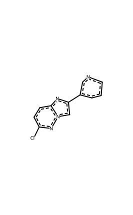 Clc1ccc2nc(-c3cccnc3)cn2n1